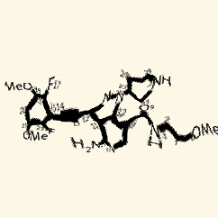 COCCNC(=O)c1cnc(N)c2c(C#Cc3c(F)c(OC)cc(OC)c3F)nn(C3CCNC3)c12